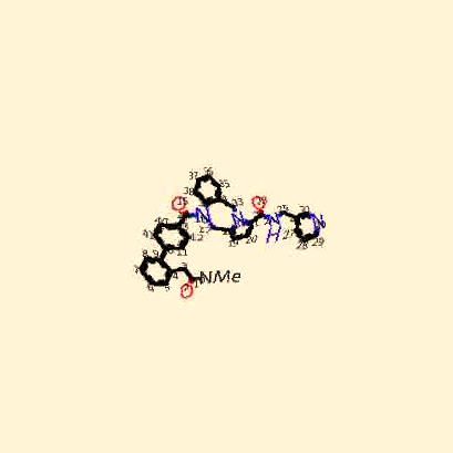 CNC(=O)Cc1ccccc1-c1ccc(C(=O)N2Cc3ccc(C(=O)NCc4cccnc4)n3Cc3ccccc32)cc1